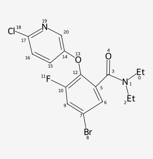 CCN(CC)C(=O)c1cc(Br)cc(F)c1Oc1ccc(Cl)nc1